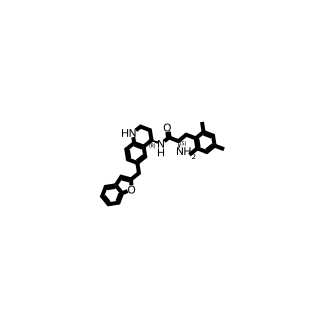 Cc1cc(C)c(C[C@H](N)C(=O)N[C@@H]2CCNc3ccc(Cc4cc5ccccc5o4)cc32)c(C)c1